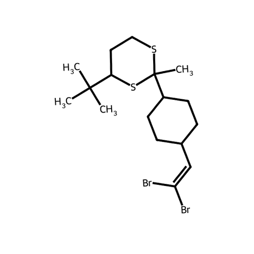 CC(C)(C)C1CCSC(C)(C2CCC(C=C(Br)Br)CC2)S1